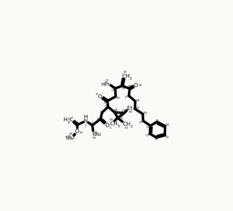 C=C(NC(C(=O)CC(C(=O)CC(CCC)C(=C)C(=O)CCCCCc1ccccc1)C1C(CC)C1(C)C)C(C)(C)C)OC(C)(C)C